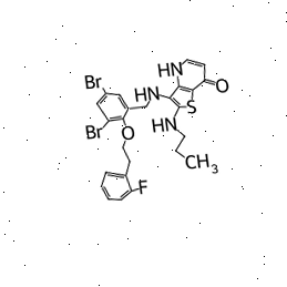 CCCNc1sc2c(=O)cc[nH]c2c1NCc1cc(Br)cc(Br)c1OCCc1ccccc1F